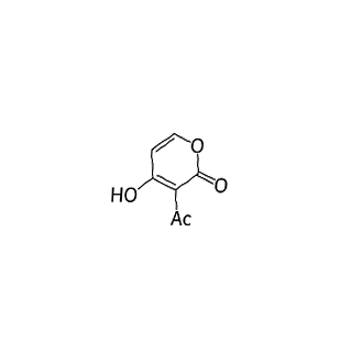 CC(=O)c1c(O)ccoc1=O